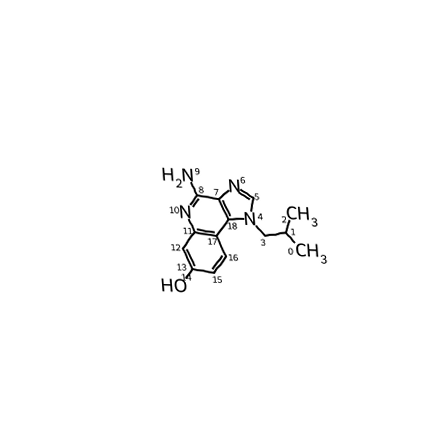 CC(C)Cn1cnc2c(N)nc3cc(O)ccc3c21